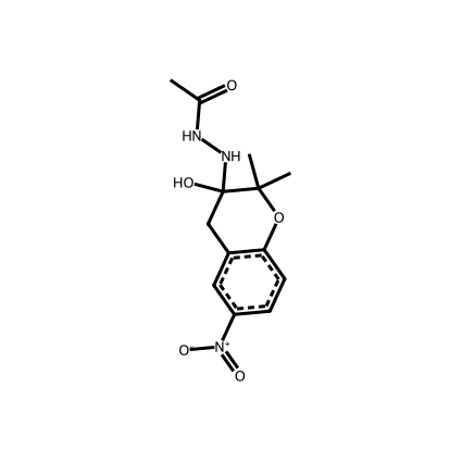 CC(=O)NNC1(O)Cc2cc([N+](=O)[O-])ccc2OC1(C)C